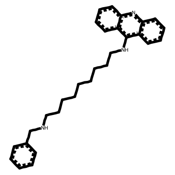 c1ccc(CNCCCCCCCCCNc2c3ccccc3nc3ccccc23)cc1